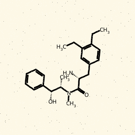 CCc1ccc(C[C@@H](N)C(=O)N(C)[C@@H](C)[C@H](O)c2ccccc2)cc1CC